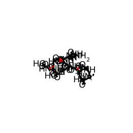 CC[C@H]1/C2=C/c3[nH]c4c(c3C)C(=O)C(C(=O)OC)/C4=C3N=C(/C=c4\[nH]/c(c(C(C)=O)c4C)=C\C(N2)[C@@H]1C)[C@@H](C)[C@@H]/3CCCC(=O)N[C@@H](CC(=O)NCCS(=O)(=O)O)C(=O)NCCSSC[C@H](NC(=O)[C@H](CC(=O)NCCS(=O)(=O)O)NC(=O)CC[C@@H](C)NC(=O)c1ccc(NCc2cnc3nc(N)[nH]c(=O)c3n2)cc1)C(=O)O